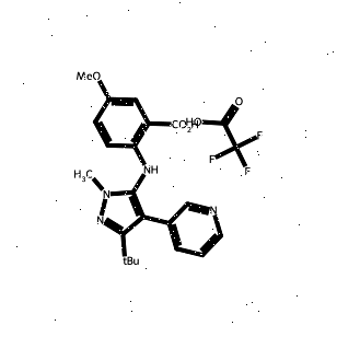 COc1ccc(Nc2c(-c3cccnc3)c(C(C)(C)C)nn2C)c(C(=O)O)c1.O=C(O)C(F)(F)F